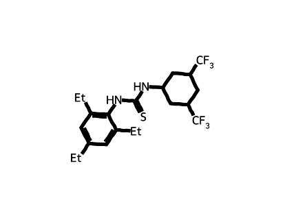 CCc1cc(CC)c(NC(=S)NC2CC(C(F)(F)F)CC(C(F)(F)F)C2)c(CC)c1